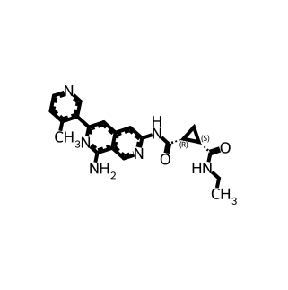 CCNC(=O)[C@H]1C[C@H]1C(=O)Nc1cc2cc(-c3cnccc3C)nc(N)c2cn1